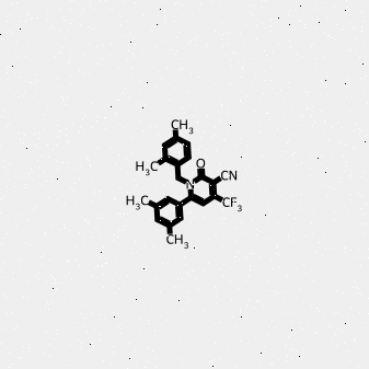 Cc1cc(C)cc(-c2cc(C(F)(F)F)c(C#N)c(=O)n2Cc2ccc(C)cc2C)c1